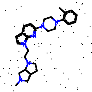 Cc1ccccc1N1CCN(c2ccc3ccn(CCN4CCC5CN(C)CC54)c3n2)CC1